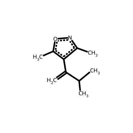 C=C(c1c(C)noc1C)C(C)C